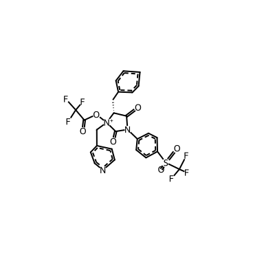 O=C1[C@@H](Cc2ccccc2)[N+](Cc2ccncc2)(OC(=O)C(F)(F)F)C(=O)N1c1ccc(S(=O)(=O)C(F)(F)F)cc1